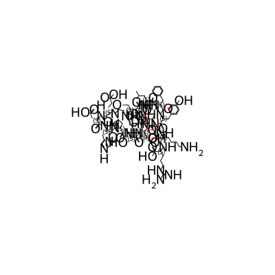 CC[C@H](C)[C@H](NC(=O)[C@@H](NC(=O)[C@@H](NC(=O)[C@H](CO)NC(=O)[C@@H]1CCCN1C(=O)[C@H](Cc1c[nH]cn1)NC(=O)[C@H](CC(=O)O)NC(=O)[C@H](CCC(=O)O)NC(=O)CN)[C@@H](C)O)C(C)C)C(=O)N[C@@H](CC(C)C)C(=O)N[C@@H](Cc1ccccc1)C(=O)N[C@@H](Cc1ccc(O)cc1)C(=O)N[C@@H](Cc1c[nH]c2ccccc12)C(=O)N[C@@H](CCCCN)C(=O)N[C@@H](CCCNC(=N)N)C(=O)O